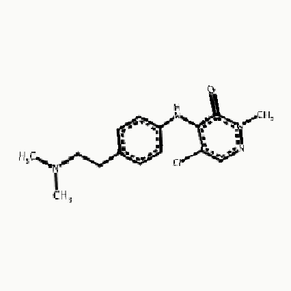 CN(C)CCc1ccc(Nc2c(Cl)cnn(C)c2=O)cc1